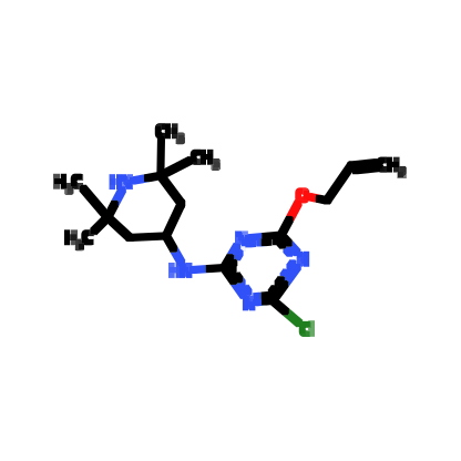 C=CCOc1nc(Cl)nc(NC2CC(C)(C)NC(C)(C)C2)n1